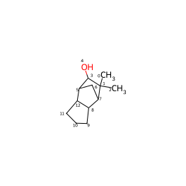 CC1(C)C(O)C2CC1C1CCCC21